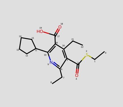 CCSC(=O)c1c(CC)nc(C2CCCC2)c(C(=O)O)c1CC